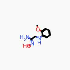 COc1ccccc1NCC(N)=NO